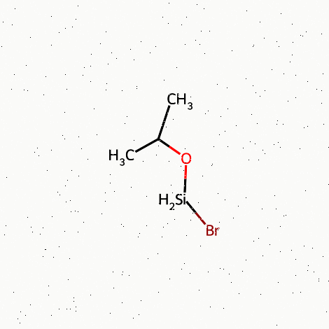 CC(C)O[SiH2]Br